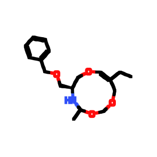 CC/C1=C/OC[C@H](COCc2ccccc2)NC(C)OCOC1